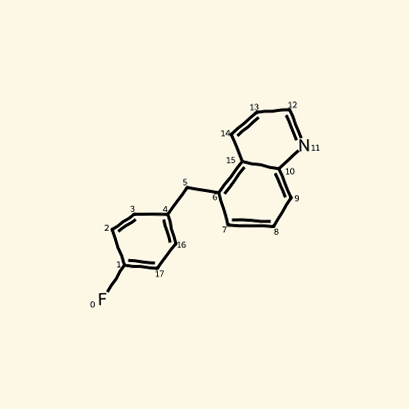 Fc1ccc(Cc2cccc3ncccc23)cc1